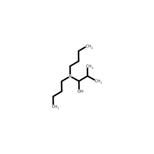 CCCCN(CCCC)C(O)C(C)C